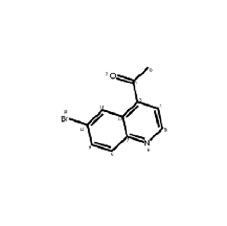 CC(=O)c1ccnc2ccc(Br)cc12